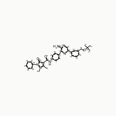 Cc1c(C(=O)Nc2ccc(-c3nc(-c4cccc(COC(C)(C)C)c4)cnc3N)cc2)c(=O)n(-c2ccccc2)n1C